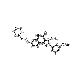 COc1cccc(-n2nc3c(c2N)c(=O)[nH]c2cc(OCCN4CCOCC4)ccc23)c1